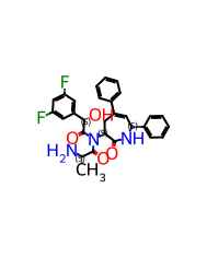 C[C@H](N)C(=O)N(C(=O)[C@@H](O)c1cc(F)cc(F)c1)[C@H]1CC(c2ccccc2)=C[C@@H](c2ccccc2)NC1=O